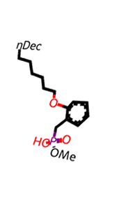 CCCCCCCCCCCCCCCCOc1ccccc1CP(=O)(O)OC